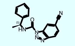 C[C@H](NC(=O)n1nnc2ccc(C#N)cc21)c1ccccc1